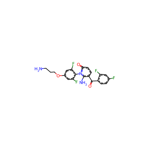 NCCCOc1cc(F)c(-n2c(N)c(C(=O)c3ccc(F)cc3F)ccc2=O)c(F)c1